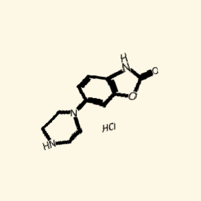 Cl.O=c1[nH]c2ccc(N3CCNCC3)cc2o1